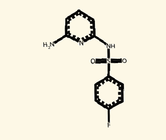 Nc1cccc(NS(=O)(=O)c2ccc(F)cc2)n1